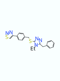 CCn1c(Cc2ccccc2)nnc1SCc1ccc(-c2csnn2)cc1